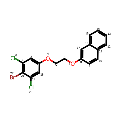 Clc1cc(OCCOc2ccc3ccccc3c2)cc(Cl)c1Br